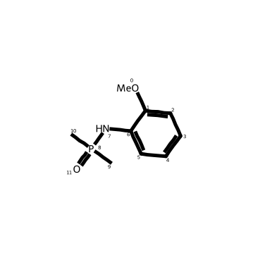 COc1ccccc1NP(C)(C)=O